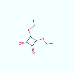 CCOC1C(=O)C(=O)C1OCC